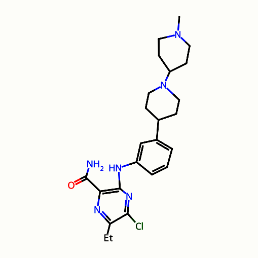 CCc1nc(C(N)=O)c(Nc2cccc(C3CCN(C4CCN(C)CC4)CC3)c2)nc1Cl